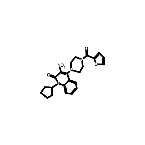 O=C(c1ccco1)N1CCN(c2c([N+](=O)[O-])c(=O)n(C3CCCC3)c3ccccc23)CC1